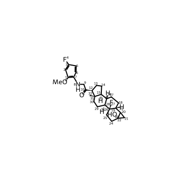 COc1cc(F)ccc1NCC(=O)[C@H]1CC[C@H]2[C@@H]3CC[C@@H]4C5C[C@@]5(O)CC[C@]4(F)[C@H]3CC[C@]12C